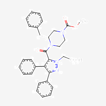 CC(C)(C)OC(=O)N1CCN(C(=O)c2c(-c3ccccc3)c(-c3ccccc3)nn2CC(=O)O)[C@H](Cc2ccccc2)C1